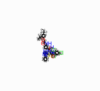 CCC(C)(C)c1ccc(OCC(=O)Nc2cccc(C(=O)Nc3[nH]n(-c4c(Cl)cc(Cl)cc4Cl)c(=O)c3Sc3nnnn3-c3ccccc3)c2)c(C(C)(C)CC)c1